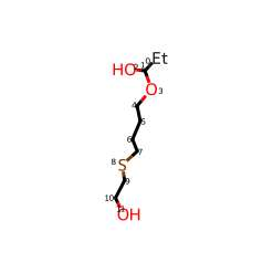 CCC(O)OCCCCSCCO